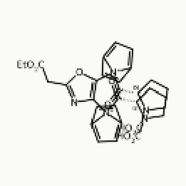 CCOC(=O)Cc1nc([N+]2(C(=O)[C@@H]3CCCN3C(=O)O)C3=CC=C2C=C3)c([N+]2(C(=O)[C@@H]3CCCN3C(=O)O)C3=CC=C2C=C3)o1